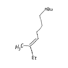 [CH2]CCCCCC/C=C(\C)CC